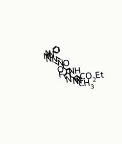 CCOC(=O)c1cc(-c2ncc(F)c3c(C(=O)C(=O)N4CCN(c5nnnn5-c5ccccc5)CC4)c[nH]c23)nn1C